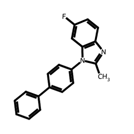 Cc1nc2ccc(F)cc2n1-c1ccc(-c2ccccc2)cc1